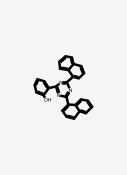 Oc1ccccc1-c1nc(-c2cccc3ccccc23)nc(-c2cccc3ccccc23)n1